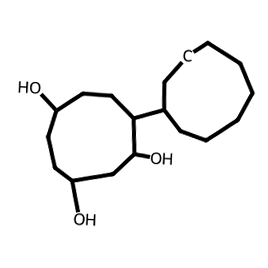 OC1CCC(O)CC(O)C(C2CCCCCCCC2)CC1